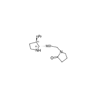 CCC[C@@H]1CCN[C@H]1C#CCN1CCCC1=O